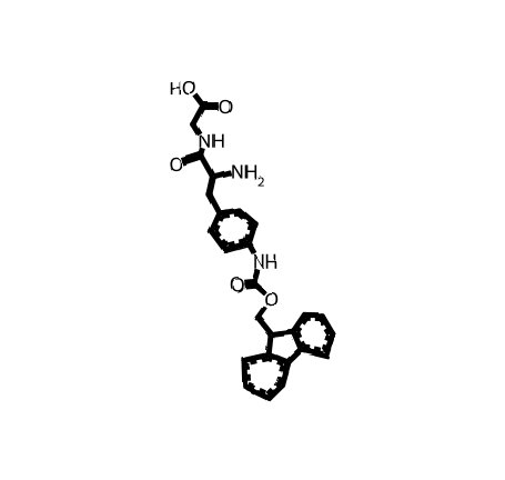 NC(Cc1ccc(NC(=O)OCC2c3ccccc3-c3ccccc32)cc1)C(=O)NCC(=O)O